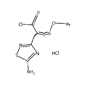 CC(C)O/N=C(\C(=O)Cl)c1nsc(N)n1.Cl